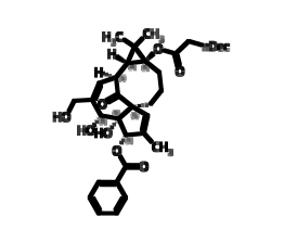 CCCCCCCCCCCC(=O)O[C@@]12CCC[C@]34C=C(C)[C@H](OC(=O)c5ccccc5)[C@@]3(O)[C@H](O)C(CO)=C[C@H](C4=O)[C@@H]1C2(C)C